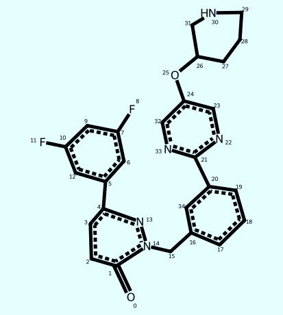 O=c1ccc(-c2cc(F)cc(F)c2)nn1Cc1cccc(-c2ncc(OC3CCCNC3)cn2)c1